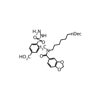 CCCCCCCCCCCCCCCCN(C)C(=O)c1ccc2c(c1)OCO2.NNS(=O)(=O)c1ccc(C(=O)O)cc1